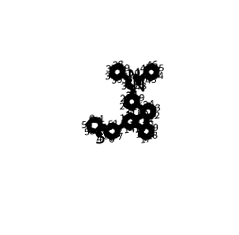 C1=Cc2c(sc3ccc(-c4ccc5c(c4)c4ccccc4c4cccc(-c6cccc(-c7cc(-c8ccccc8)nc(-c8ccccc8)n7)c6)c45)cc23)CC1